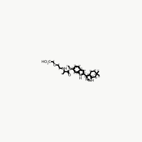 CC(NCCOCC(=O)O)C(=O)N(C)c1ccc2cc(-c3n[nH]c4c3CCC(C)(C)C4)[nH]c2c1